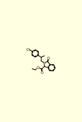 CCOC(=O)C1c2ccccc2C(=O)N1CC(C)c1ccc(Cl)cc1